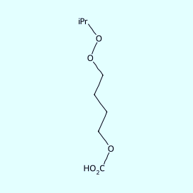 CC(C)OOCCCCOC(=O)O